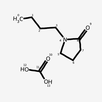 CCCCN1CCCC1=O.O=C(O)O